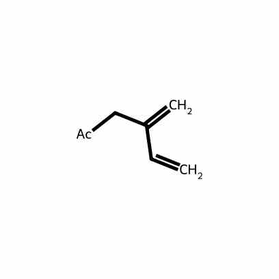 C=CC(=C)CC(C)=O